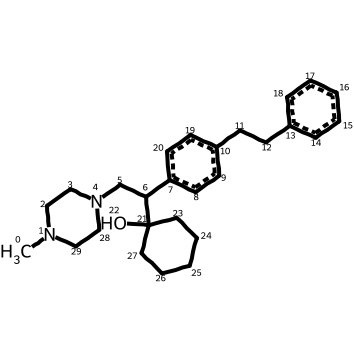 CN1CCN(CC(c2ccc(CCc3ccccc3)cc2)C2(O)CCCCC2)CC1